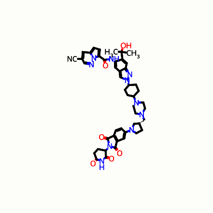 CC(C)(O)c1cc2nn(C3CCC(N4CCN(C[C@@H]5CCN(c6ccc7c(c6)C(=O)N(C6CCC(=O)NC6=O)C7=O)C5)CC4)CC3)cc2cc1NC(=O)c1ccc2cc(C#N)cnn12